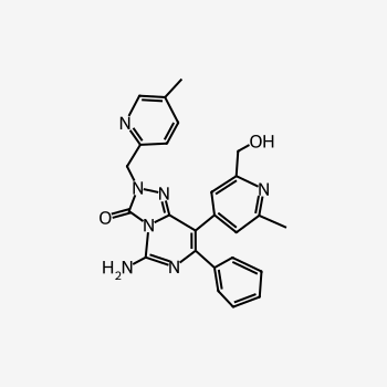 Cc1ccc(Cn2nc3c(-c4cc(C)nc(CO)c4)c(-c4ccccc4)nc(N)n3c2=O)nc1